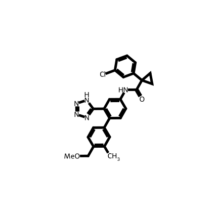 COCc1ccc(-c2ccc(NC(=O)C3(c4cccc(Cl)c4)CC3)cc2-c2nnn[nH]2)cc1C